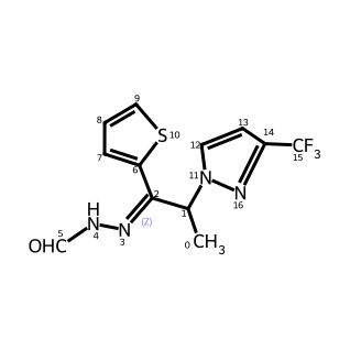 CC(/C(=N/NC=O)c1cccs1)n1ccc(C(F)(F)F)n1